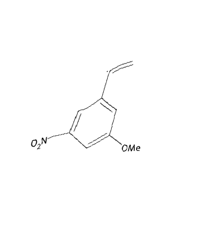 C=[C]c1cc(OC)cc([N+](=O)[O-])c1